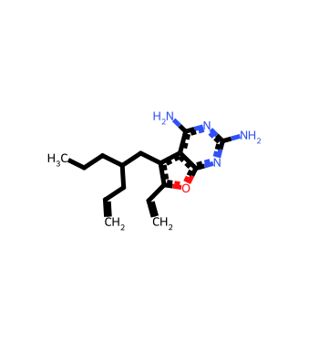 C=CCC(CCC)Cc1c(C=C)oc2nc(N)nc(N)c12